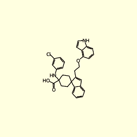 O=C(O)C1(Nc2cccc(Cl)c2)CCC2(CC1)C(CCOc1cccc3[nH]ccc13)=Cc1ccccc12